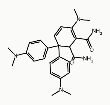 CN(C)C1=C(C(N)=O)C(C(N)=O)C(c2ccc(N(C)C)cc2)(c2ccc(N(C)C)cc2)C=C1